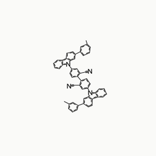 Cc1cccc(-c2ccc3c4ccccc4n(-c4ccc(-c5ccc(-n6c7ccccc7c7ccc(-c8cccc(C)c8)cc76)cc5C#N)c(C#N)c4)c3c2)c1